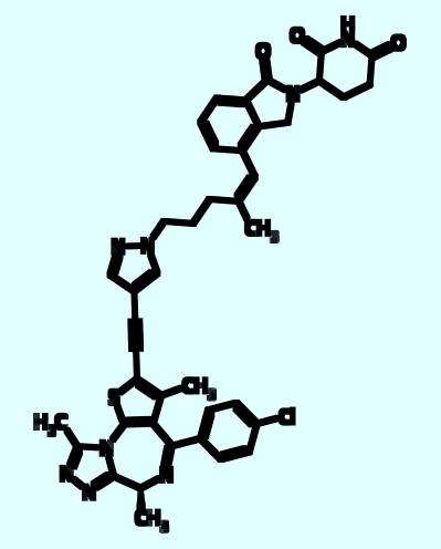 C/C(=C/c1cccc2c1CN(C1CCC(=O)NC1=O)C2=O)CCCn1cc(C#Cc2sc3c(c2C)C(c2ccc(Cl)cc2)=N[C@@H](C)c2nnc(C)n2-3)cn1